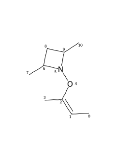 C/C=C(/C)ON1C(C)CC1C